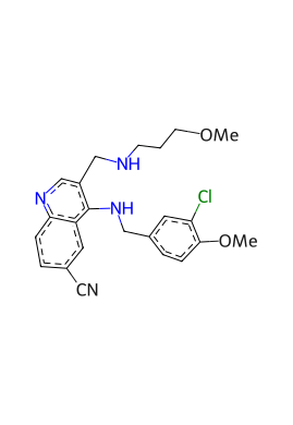 COCCCNCc1cnc2ccc(C#N)cc2c1NCc1ccc(OC)c(Cl)c1